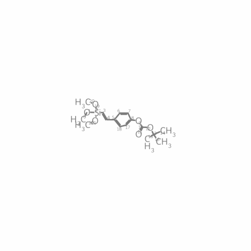 CO[Si](/C=C/c1ccc(OC(=O)OC(C)(C)C)cc1)(OC)OC